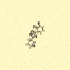 Fc1cccc(-c2nc(-c3cccnc3)no2)c1F